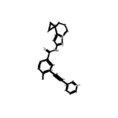 Cc1ccc(C(=O)Nc2cc3n(n2)CCCC32CC2)cc1C#Cc1cccnc1